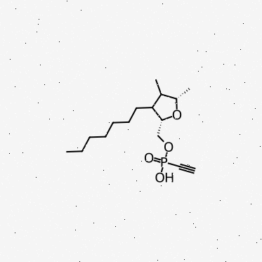 C#CP(=O)(O)OC[C@H]1O[C@@H](C)C(C)C1CCCCCCC